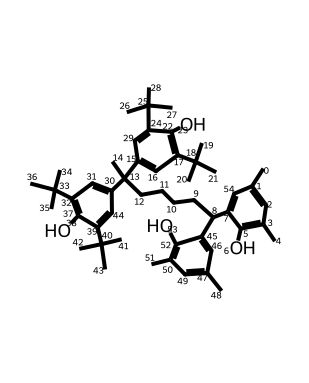 Cc1cc(C)c(O)c(C(CCCCC(C)(c2cc(C(C)(C)C)c(O)c(C(C)(C)C)c2)c2cc(C(C)(C)C)c(O)c(C(C)(C)C)c2)c2cc(C)cc(C)c2O)c1